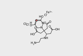 NCCNC(CC(=O)O)C(CC(=O)O)(CC(=O)O)N(CC(=O)O)CC(=O)O.[Cl-].[Cl-].[Cl-].[Fe+3]